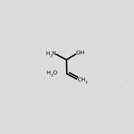 C=CC(N)O.O